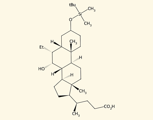 CC[C@H]1[C@@H](O)[C@@H]2[C@H](CC[C@]3(C)[C@@H]([C@H](C)CCC(=O)O)CC[C@@H]23)[C@@]2(C)CCC(O[Si](C)(C)C(C)(C)C)C[C@@H]12